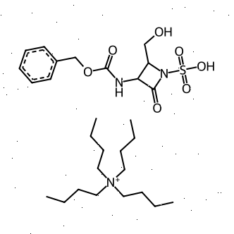 CCCC[N+](CCCC)(CCCC)CCCC.O=C(NC1C(=O)N(S(=O)(=O)O)C1CO)OCc1ccccc1